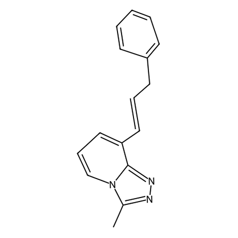 Cc1nnc2c(/C=C/Cc3ccccc3)cccn12